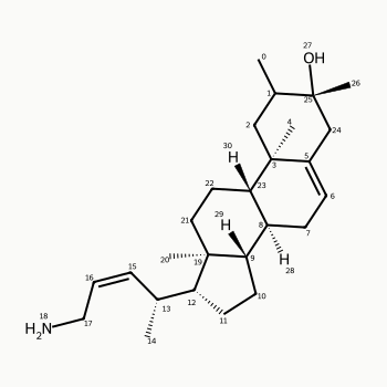 CC1C[C@@]2(C)C(=CC[C@H]3[C@@H]4CC[C@H]([C@H](C)/C=C\CN)[C@@]4(C)CC[C@@H]32)C[C@@]1(C)O